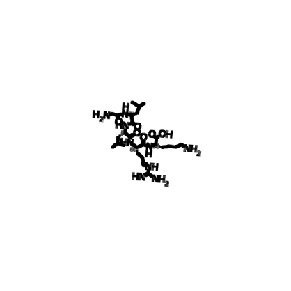 CC(C)C[C@H](NC(=O)CN)C(=O)N[C@@H](CC(C)C)C(=O)N[C@@H](CCCNC(=N)N)C(=O)N[C@@H](CCCCN)C(=O)O